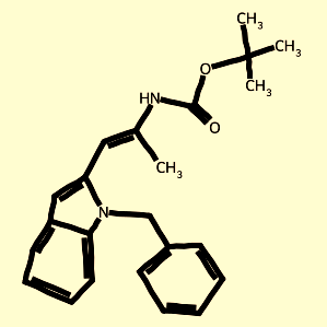 C/C(=C\c1cc2ccccc2n1Cc1ccccc1)NC(=O)OC(C)(C)C